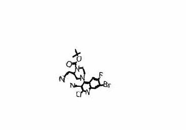 CC(C)(C)OC(=O)N1CCN(c2c(C#N)c(Cl)nc3cc(Br)c(F)cc23)CC1CC#N